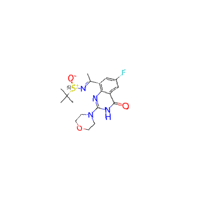 CC(=N[S@+]([O-])C(C)(C)C)c1cc(F)cc2c(=O)[nH]c(N3CCOCC3)nc12